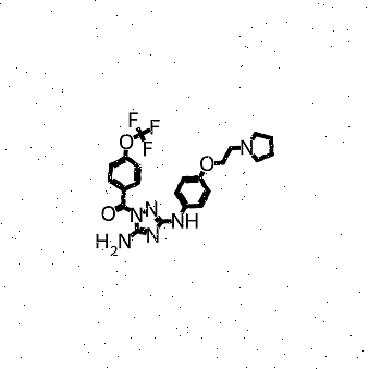 Nc1nc(Nc2ccc(OCCN3CCCC3)cc2)nn1C(=O)c1ccc(OC(F)(F)F)cc1